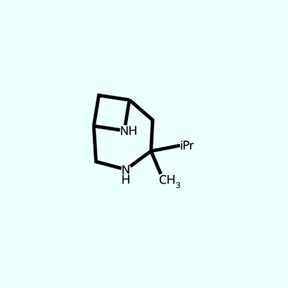 CC(C)C1(C)CC2CC(CN1)N2